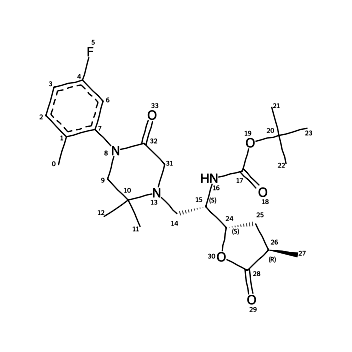 Cc1ccc(F)cc1N1CC(C)(C)N(C[C@H](NC(=O)OC(C)(C)C)[C@@H]2C[C@@H](C)C(=O)O2)CC1=O